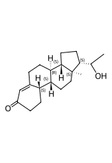 CC(O)[C@H]1CC[C@H]2[C@@H]3CCC4=CC(=O)CC[C@H]4[C@H]3CC[C@]12C